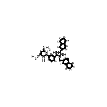 CC1=CC(C)=NC(c2cccc(C3NC(c4ccc5ccccc5c4)NN3Cc3ccc4ccccc4c3)c2)N1